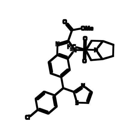 COC(=O)c1nc2ccc(C(c3ccc(Cl)cc3)c3nccs3)cc2n1C1CC2CCC(C1)N2S(=O)(=O)C(F)(F)F